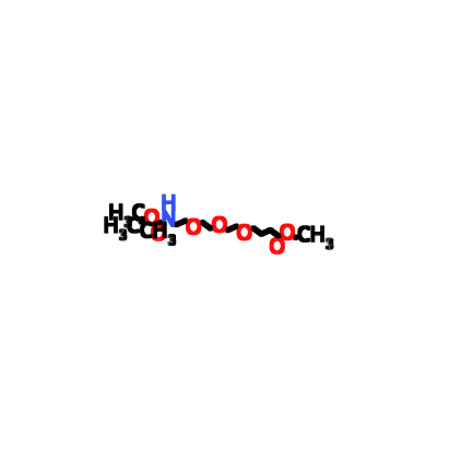 CCOC(=O)CCCOCCOCCOCCNC(=O)OC(C)(C)C